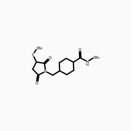 CC(C)(C)NC(=O)C1CCC(CN2C(=O)CC(SC(C)(C)C)C2=O)CC1